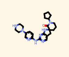 O=C1N(C2CCCC2)CCCC12Cc1cnc(Nc3ccc(N4CCNCC4)cn3)nc1N2